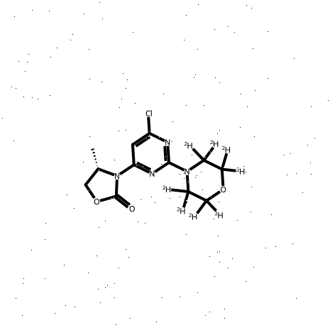 [2H]C1([2H])OC([2H])([2H])C([2H])([2H])N(c2nc(Cl)cc(N3C(=O)OC[C@@H]3C)n2)C1([2H])[2H]